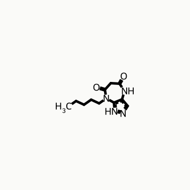 CCCCCN1C(=O)CC(=O)Nc2cn[nH]c21